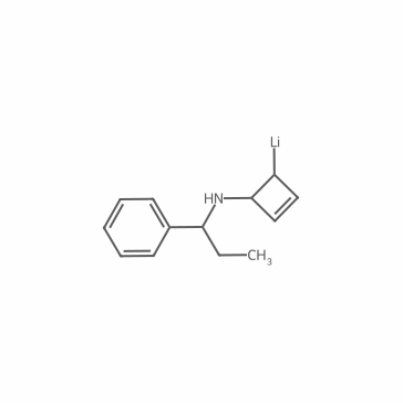 [Li][CH]1C=CC1NC(CC)c1ccccc1